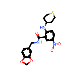 O=C(NCc1ccc2c(c1)OCO2)c1cc([N+](=O)[O-])ccc1NC1CCSCC1